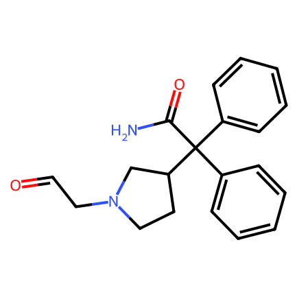 NC(=O)C(c1ccccc1)(c1ccccc1)C1CCN(CC=O)C1